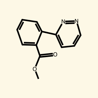 COC(=O)c1ccccc1-c1cccnn1